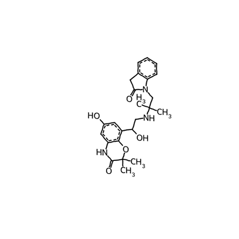 CC(C)(CN1C(=O)Cc2ccccc21)NCC(O)c1cc(O)cc2c1OC(C)(C)C(=O)N2